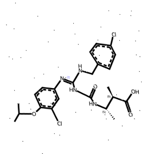 CC(C)Oc1ccc(/N=C(/NCc2ccc(Cl)cc2)NC(=O)N[C@@H](C)[C@@H](C)C(=O)O)cc1Cl